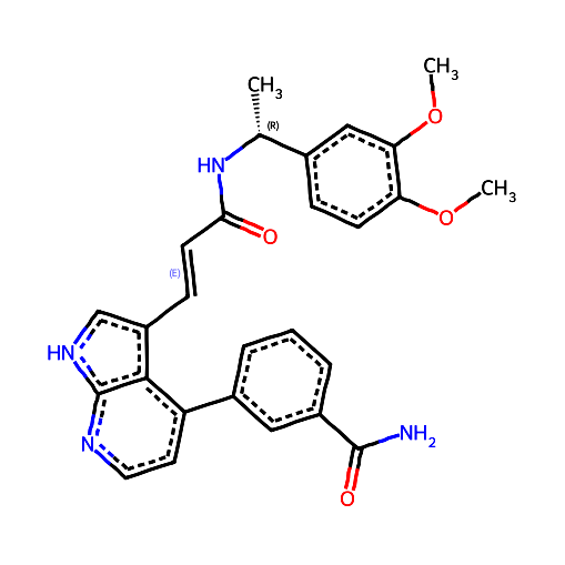 COc1ccc([C@@H](C)NC(=O)/C=C/c2c[nH]c3nccc(-c4cccc(C(N)=O)c4)c23)cc1OC